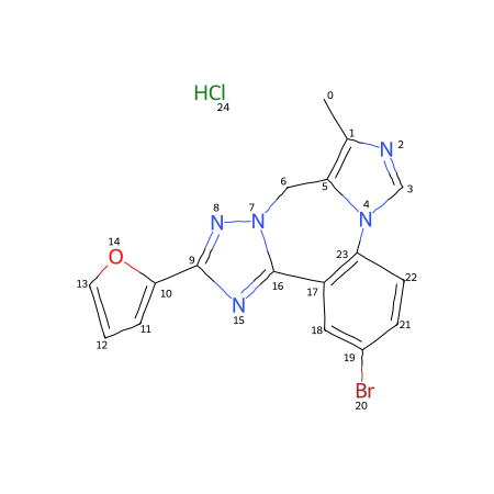 Cc1ncn2c1Cn1nc(-c3ccco3)nc1-c1cc(Br)ccc1-2.Cl